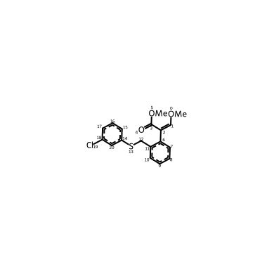 COC=C(C(=O)OC)c1ccccc1CSc1cccc(Cl)c1